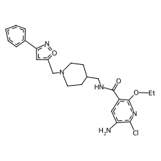 CCOc1nc(Cl)c(N)cc1C(=O)NCC1CCN(Cc2cc(-c3ccccc3)no2)CC1